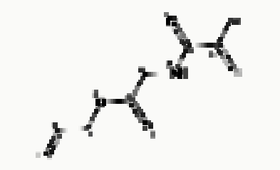 C=CCOC(=O)CNC(=O)C(=C)C